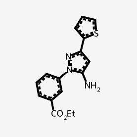 CCOC(=O)c1cccc(-n2nc(-c3cccs3)cc2N)c1